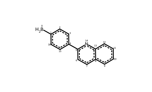 Bc1ccc(-c2ccc3ccccc3n2)cc1